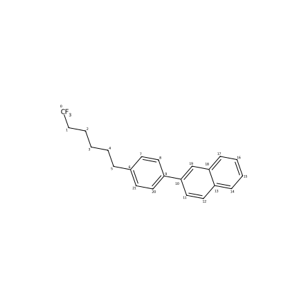 FC(F)(F)CCCCCc1ccc(-c2ccc3ccccc3c2)cc1